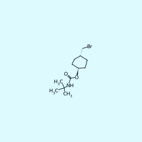 CC(C)(C)NC(=O)O[C@H]1CC[C@H](CBr)CC1